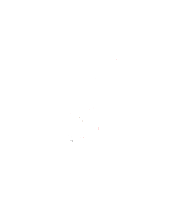 CC(C)(COS(=O)(=O)O[Si](C)(C)C)OS(C)(=O)=O